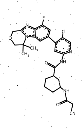 CC1(C)COCc2nc3c(F)cc(-c4cc(NC(=O)C5CCCC(NC(=O)CC#N)C5)ncc4Cl)cc3n21